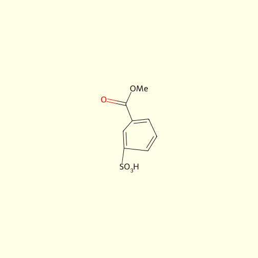 COC(=O)c1cccc(S(=O)(=O)O)c1